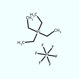 CC[P+](CC)(CC)CC.F[P-](F)(F)(F)(F)F